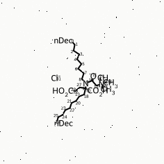 CCCCCCCCCCCCCCCCCCN(C(=O)C[N+](C)(C)C)[C@](CCCCCCCCCCCCCCCCCC)(CCC(=O)O)C(=O)O.[Cl-]